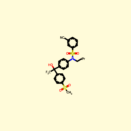 CC(C)CN(c1ccc(C(O)(c2ccc(S(C)(=O)=O)cc2)C(F)(F)F)cc1)S(=O)(=O)c1cccc(C#N)c1